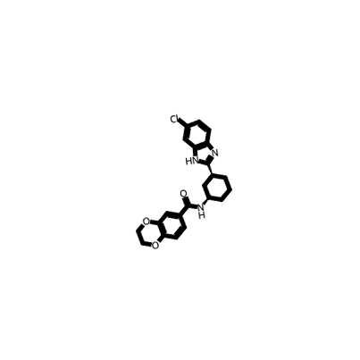 O=C(N[C@@H]1CCC[C@H](c2nc3ccc(Cl)cc3[nH]2)C1)c1ccc2c(c1)OCCO2